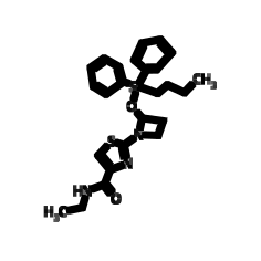 CCCC[Si](OC1CCN1c1nc(C(=O)NCC)cs1)(c1ccccc1)c1ccccc1